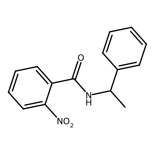 CC(NC(=O)c1ccccc1[N+](=O)[O-])c1ccccc1